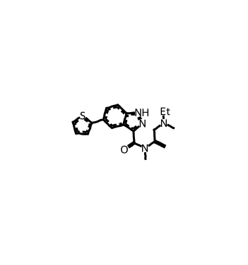 C=C(CN(C)CC)N(C)C(=O)c1n[nH]c2ccc(-c3cccs3)cc12